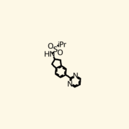 CC(C)S(=O)(=O)NC1Cc2ccc(-c3ncccn3)cc2C1